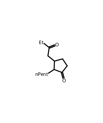 CCCCCC1C(=O)CCC1CC(=O)CC